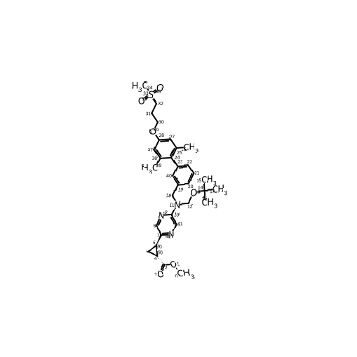 COC(=O)[C@@H]1C[C@H]1c1cnc(N(COC(C)(C)C)Cc2cccc(-c3c(C)cc(OCCCS(C)(=O)=O)cc3C)c2)cn1